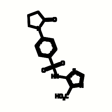 O=C(O)c1ncsc1NS(=O)(=O)c1ccc(N2CCCC2=O)cc1